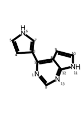 c1nc(-c2cc[nH]c2)c2cc[nH]c2n1